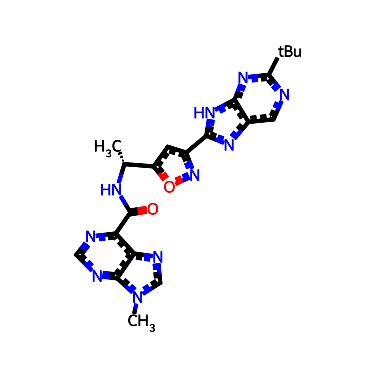 C[C@@H](NC(=O)c1ncnc2c1ncn2C)c1cc(-c2nc3cnc(C(C)(C)C)nc3[nH]2)no1